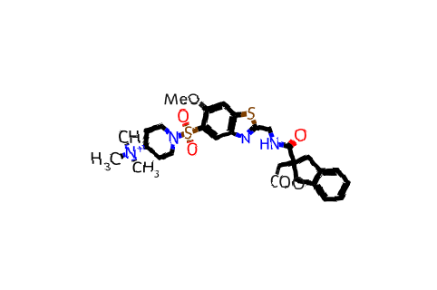 COc1cc2sc(CNC(=O)C3(CC(=O)[O-])Cc4ccccc4C3)nc2cc1S(=O)(=O)N1CCC([N+](C)(C)C)CC1